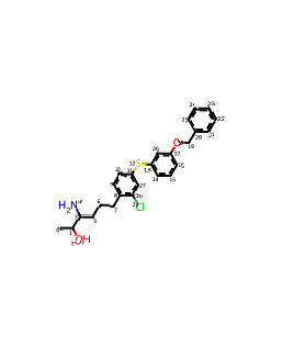 CC(O)C(N)CCCc1ccc(Sc2cccc(OCc3ccccc3)c2)cc1Cl